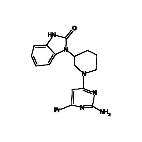 CC(C)c1cc(N2CCCC(n3c(=O)[nH]c4ccccc43)C2)nc(N)n1